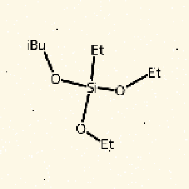 CCO[Si](CC)(OCC)OC(C)CC